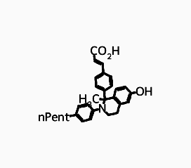 CCCCCc1ccc(N2CCc3cc(O)ccc3C2(C)c2ccc(/C=C/C(=O)O)cc2)cc1